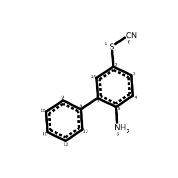 N#CSc1ccc(N)c(-c2ccccc2)c1